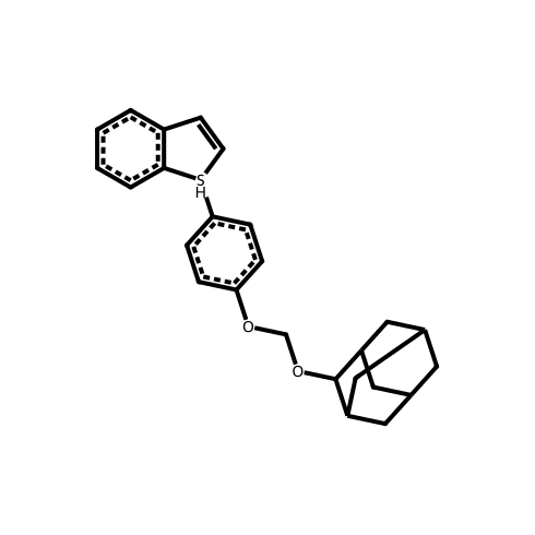 C1=C[SH](c2ccc(OCOC3C4CC5CC(C4)CC3C5)cc2)c2ccccc21